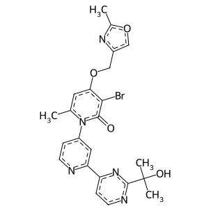 Cc1nc(COc2cc(C)n(-c3ccnc(-c4ccnc(C(C)(C)O)n4)c3)c(=O)c2Br)co1